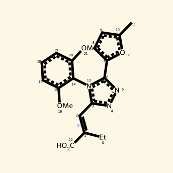 CC/C(=C\c1nnc(-c2ccc(C)o2)n1-c1c(OC)cccc1OC)C(=O)O